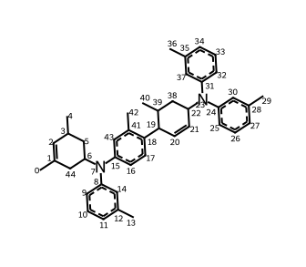 CC1=CC(C)CC(N(c2cccc(C)c2)c2ccc(C3C=CC(N(c4cccc(C)c4)c4cccc(C)c4)CC3C)c(C)c2)C1